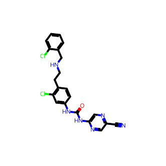 N#Cc1cnc(NC(=O)Nc2ccc(CCNCc3ccccc3Cl)c(Cl)c2)cn1